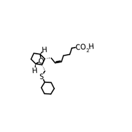 O=C(O)CCC/C=C\C[C@@H]1[C@H](CSC2CCCCC2)[C@@H]2CC[C@H]1O2